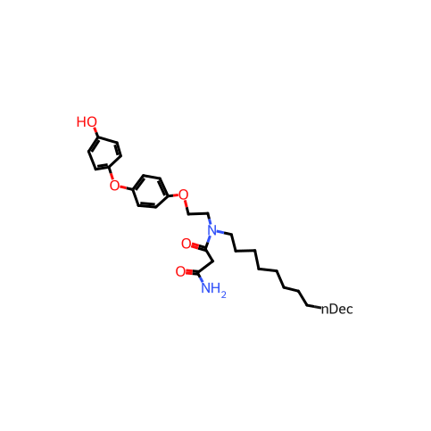 CCCCCCCCCCCCCCCCCCN(CCOc1ccc(Oc2ccc(O)cc2)cc1)C(=O)CC(N)=O